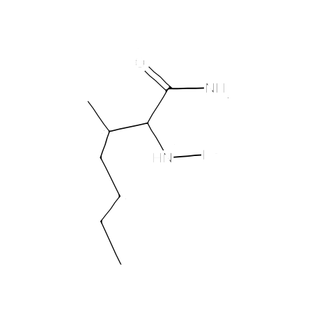 CCCCC(C)C(NI)C(N)=O